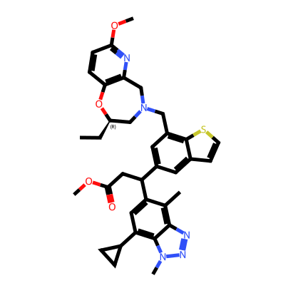 CC[C@@H]1CN(Cc2cc(C(CC(=O)OC)c3cc(C4CC4)c4c(nnn4C)c3C)cc3ccsc23)Cc2nc(OC)ccc2O1